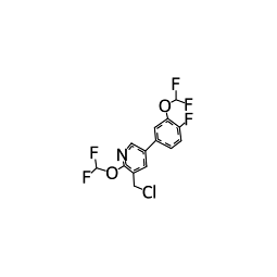 Fc1ccc(-c2cnc(OC(F)F)c(CCl)c2)cc1OC(F)F